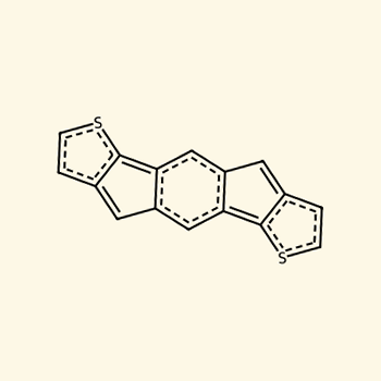 C1=c2ccsc2=c2cc3c(cc21)=c1sccc1=C3